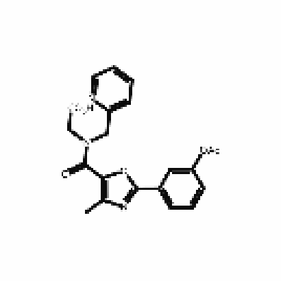 CC(=O)Oc1cccc(-c2nc(C)c(C(=O)N(CC(=O)O)Cc3ccccn3)o2)c1